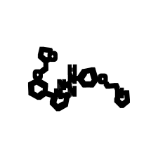 c1cc(OCC2CCCO2)cc(-c2cccc3nc(Nc4ccc(OCCN5CCCC5)cc4)nn23)c1